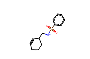 O=S(=O)(NCC1C#CCCC1)c1ccccc1